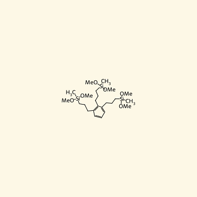 CO[Si](C)(CCCc1cccc(CCC[Si](C)(OC)OC)c1CCC[Si](C)(OC)OC)OC